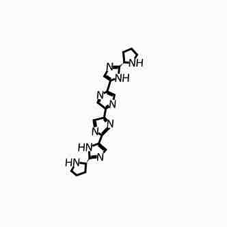 c1nc(-c2cnc([C@@H]3CCCN3)[nH]2)cnc1-c1cnc(-c2cnc([C@@H]3CCCN3)[nH]2)cn1